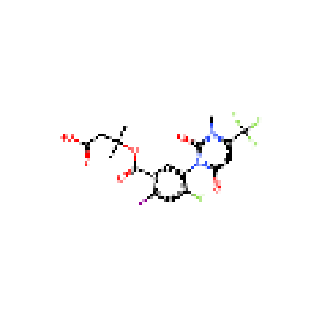 Cn1c(C(F)(F)F)cc(=O)n(-c2cc(C(=O)OC(C)(C)CC(=O)O)c(I)cc2F)c1=O